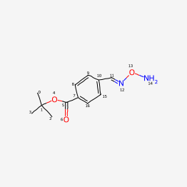 CC(C)(C)OC(=O)c1ccc(C=NON)cc1